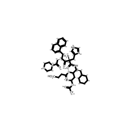 CC(C)C(CC(OC(=O)CCC(=O)O)[C@H](CC1CCCCC1)NC(=O)[C@@](N)(Cc1c[nH]cn1)C(=O)[C@H](CC(=O)N1CCOCC1)Cc1cccc2ccccc12)OC(=O)C(F)(F)F